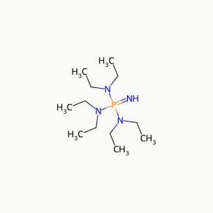 CCN(CC)P(=N)(N(CC)CC)N(CC)CC